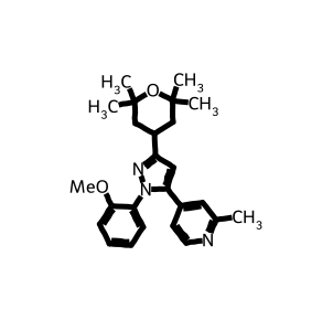 COc1ccccc1-n1nc(C2CC(C)(C)OC(C)(C)C2)cc1-c1ccnc(C)c1